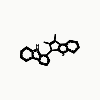 CC1=C(C)C(c2cccc3c2[nH]c2ccccc23)c2sc3ccccc3c21